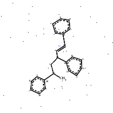 CC(CC(/C=C/c1ccccc1)c1ccccc1)c1ccccc1